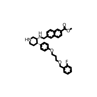 COC(=O)c1ccc2cc(CN[C@H]3CNCC[C@H]3c3ccc(OCCCOCc4ccccc4F)cc3)ccc2c1